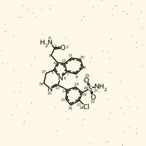 NC(=O)Cc1c2n(c3ccccc13)C(c1ccc(Cl)c(S(N)(=O)=O)c1)=NCC2